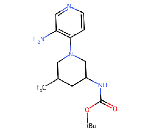 CC(C)(C)OC(=O)NC1CC(C(F)(F)F)CN(c2ccncc2N)C1